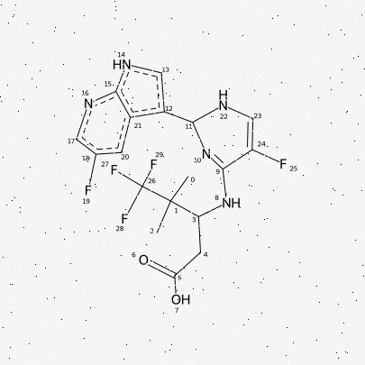 CC(C)(C(CC(=O)O)NC1=NC(c2c[nH]c3ncc(F)cc23)NC=C1F)C(F)(F)F